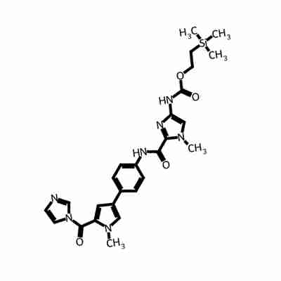 Cn1cc(-c2ccc(NC(=O)c3nc(NC(=O)OCC[Si](C)(C)C)cn3C)cc2)cc1C(=O)n1ccnc1